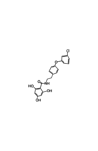 O=C(NCCc1ccc(Oc2cccc(Cl)c2)cc1)c1c(O)cc(O)cc1O